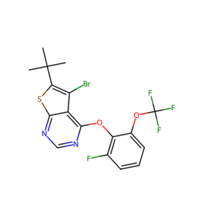 CC(C)(C)c1sc2ncnc(Oc3c(F)cccc3OC(F)(F)F)c2c1Br